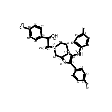 Cc1ccc(Nc2c(-c3ccc(F)cc3)nc3n2CCN(C(=O)C(O)c2ccc(Cl)cc2)C3)cc1